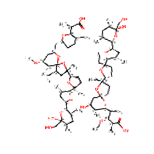 CC[C@@]1([C@@H]2O[C@@H]([C@H]3O[C@@](O)(CO)[C@H](C)C[C@@H]3C)C[C@@H]2C)CC[C@H]([C@]2(C)CC[C@]3(C[C@H](O)[C@@H](C)[C@@H]([C@@H](C)[C@@H](OC)[C@H](C)C(=O)O)O3)O2)O1.CO[C@@H]1C[C@@H](C[C@H]2CC[C@H](C)[C@H]([C@@H](C)C(=O)O)O2)O[C@]2(O[C@](C)([C@H]3CC[C@@](C)([C@@H]4O[C@@H]([C@H]5O[C@@](O)(CO)[C@H](C)C[C@@H]5C)C[C@@H]4C)O3)C[C@H]2C)[C@@H]1C